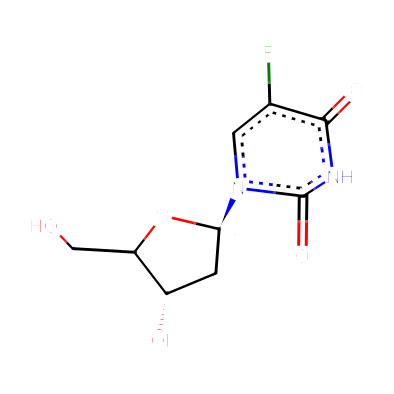 O=c1[nH]c(=O)n([C@H]2C[C@H](O)C(CO)O2)cc1F